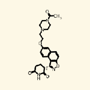 CC(=O)N1CCN(CCOc2ccc3c(ccc4onc([C@H]5CCC(=O)NC5=O)c43)c2)CC1